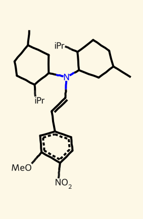 COc1cc(C=CN(C2CC(C)CCC2C(C)C)C2CC(C)CCC2C(C)C)ccc1[N+](=O)[O-]